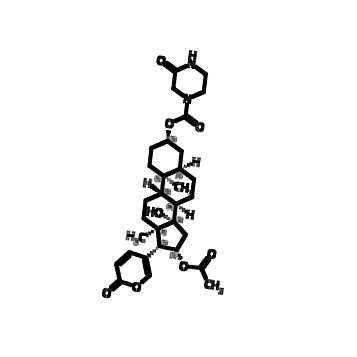 CC(=O)O[C@H]1C[C@]2(O)[C@@H]3CC[C@@H]4C[C@@H](OC(=O)N5CCNC(=O)C5)CC[C@]4(C)[C@H]3CC[C@]2(C)[C@H]1c1ccc(=O)oc1